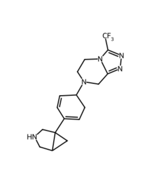 FC(F)(F)c1nnc2n1CCN(C1C=CC(C34CNCC3C4)=CC1)C2